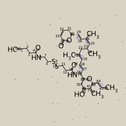 C#CCCC(=O)NCCSSCCC(=O)N[C@H](/C=C/C=C(\C)CC(C)/C=C(C)\C=C\[C@H]1CC=CC(=O)O1)[C@@H]1C[C@@H](O)[C@H](C)[C@H](/C=C/C)O1